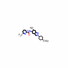 N#Cc1cc2nn(C3CCC(C=O)CC3)cc2cc1NC(=O)c1cccc(C(F)(F)F)n1